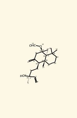 C=C[C@@](C)(O)CC[C@H]1C(=C)C[C@]2(OC=O)C[C@@]23C(C)(C)CCC[C@]13C